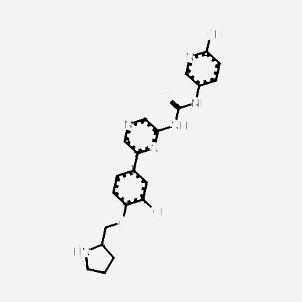 Cc1ccc(NC(=O)Nc2cncc(-c3ccc(OCC4CCCN4)c(C)c3)n2)cn1